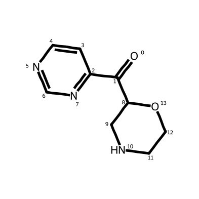 O=C(c1ccncn1)C1CNCCO1